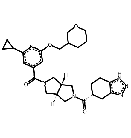 O=C(c1cc(OCC2CCCOC2)nc(C2CC2)c1)N1C[C@@H]2CN(C(=O)[C@@H]3CCc4[nH]nnc4C3)C[C@H]2C1